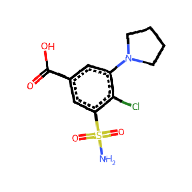 NS(=O)(=O)c1cc(C(=O)O)cc(N2CCCC2)c1Cl